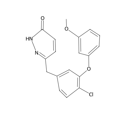 COc1cccc(Oc2cc(Cc3ccc(=O)[nH]n3)ccc2Cl)c1